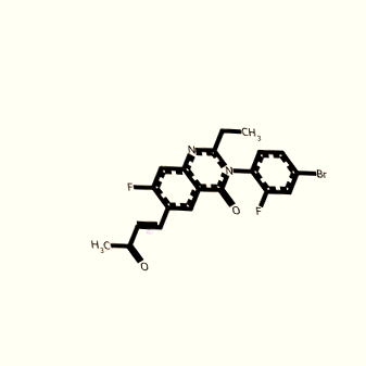 CCc1nc2cc(F)c(/C=C/C(C)=O)cc2c(=O)n1-c1ccc(Br)cc1F